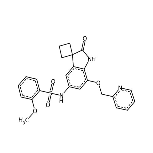 COc1ccccc1S(=O)(=O)Nc1cc(OCc2ccccn2)c2c(c1)C1(CCC1)C(=O)N2